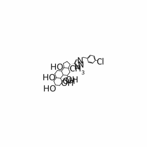 C[C@]12C[C@@H](O)C3C(CC[C@]4(O)C[C@@H](O)C[C@@H](O)[C@]34CO)[C@@]1(O)CC[C@@H]2c1cn(Cc2ccc(Cl)cc2)nn1